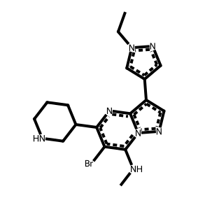 CCn1cc(-c2cnn3c(NC)c(Br)c(C4CCCNC4)nc23)cn1